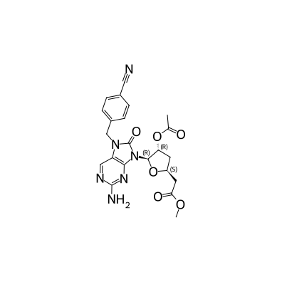 COC(=O)C[C@@H]1C[C@@H](OC(C)=O)[C@H](n2c(=O)n(Cc3ccc(C#N)cc3)c3cnc(N)nc32)O1